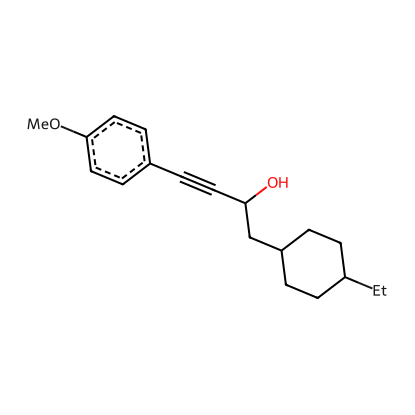 CCC1CCC(CC(O)C#Cc2ccc(OC)cc2)CC1